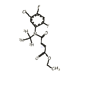 [2H]C([2H])([2H])N(C(=O)/C=C/C(=O)OCC)c1cc(Cl)c(F)cc1F